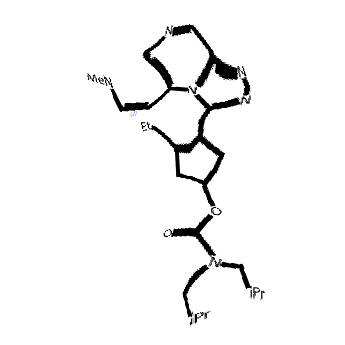 CCC1CC(OC(=O)N(CC(C)C)CC(C)C)CC1c1nnc2cncc(/C=C\NC)n12